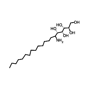 CCCCCCCCCCCCCCC(N)[C@H](O)[C@@H](O)[C@H](O)[C@H](O)CO